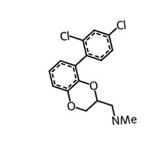 CNCC1COc2cccc(-c3ccc(Cl)cc3Cl)c2O1